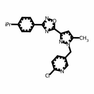 Cc1cc(-c2nc(-c3ccc(C(C)C)cc3)no2)nn1Cc1ccc(Cl)nc1